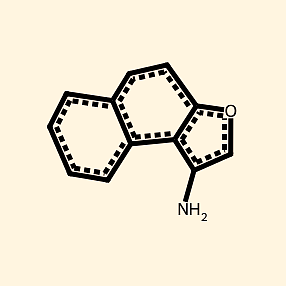 Nc1coc2ccc3ccccc3c12